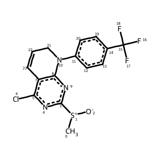 C[S+]([O-])c1nc(Cl)c2c(n1)N(c1ccc(C(F)(F)F)cc1)CC=C2